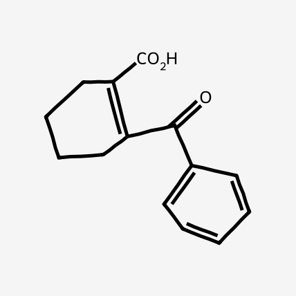 O=C(O)C1=C(C(=O)c2ccccc2)CCCC1